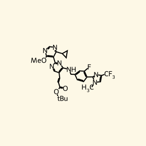 COc1ncnc(C2CC2)c1-c1ncc(/C=C/C(=O)OC(C)(C)C)c(NCc2ccc(-c3nc(C(F)(F)F)cn3C)c(F)c2)n1